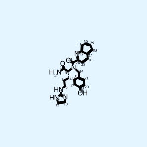 NC(=O)[C@@H](CCCNc1ncc[nH]1)N(Cc1ccc(O)cc1)C(=O)c1ccc2ccccc2n1